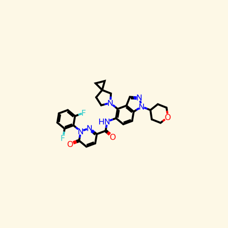 O=C(Nc1ccc2c(cnn2C2CCOCC2)c1N1CCC2(CC2)C1)c1ccc(=O)n(-c2c(F)cccc2F)n1